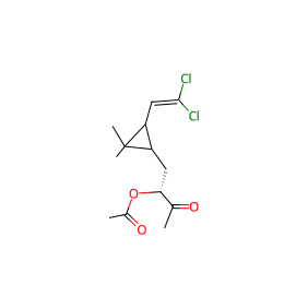 CC(=O)O[C@H](CC1C(C=C(Cl)Cl)C1(C)C)C(C)=O